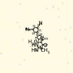 CN1C(=N)N[C@](C)(c2cc(-c3cc(C#N)cc(C#N)c3)cs2)C(C2CC2)C1=O